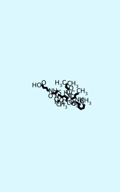 CCC(C)C(NC(=O)C1CCCCN1C)C(=O)N(COC(=O)CC(C)C)C(CC(OC(C)=O)c1nc(C(=O)NCCCC(=O)O)cs1)C(C)C